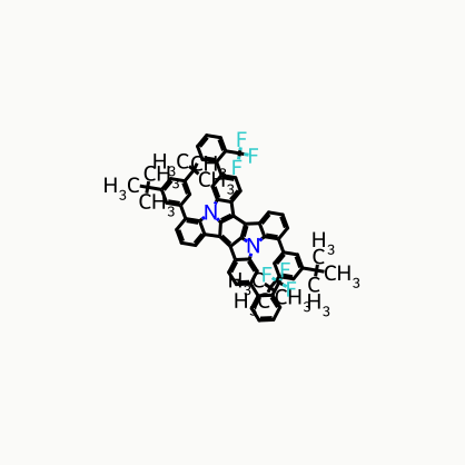 CC(C)(C)c1cc(-c2cccc3c4c5c6ccc(-c7ccccc7C(F)(F)F)cc6n6c7c(-c8cc(C(C)(C)C)cc(C(C)(C)C)c8)cccc7c(c7c8ccc(-c9ccccc9C(F)(F)F)cc8n(c23)c74)c56)cc(C(C)(C)C)c1